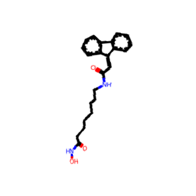 O=C(C=C1c2ccccc2-c2ccccc21)NCCCCCCCC(=O)NO